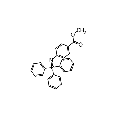 COC(=O)c1ccc(N=P(c2ccccc2)(c2ccccc2)c2ccccc2)cc1